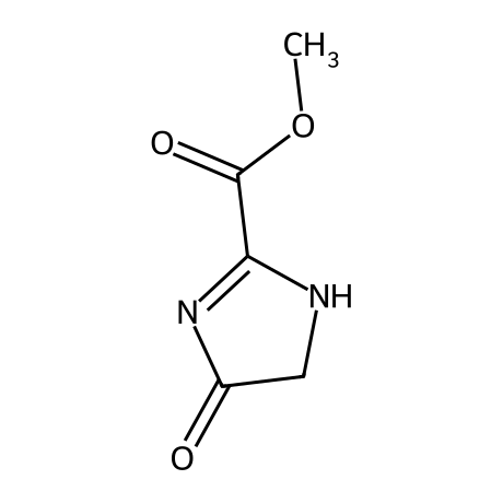 COC(=O)C1=NC(=O)CN1